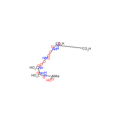 CN[C@@H](CCCCNC(=O)CC[C@H](NC(=O)CC[C@H](NC(=O)COCCOCCNC(=O)COCCOCCNC(=O)CC[C@H](NC(=O)CCCCCCCCCCCCCCCCCCC(=O)O)C(=O)O)C(=O)O)C(=O)O)C(=O)CO